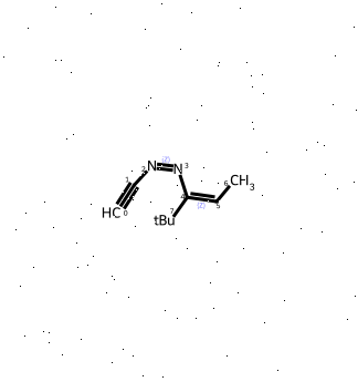 C#C/N=N\C(=C/C)C(C)(C)C